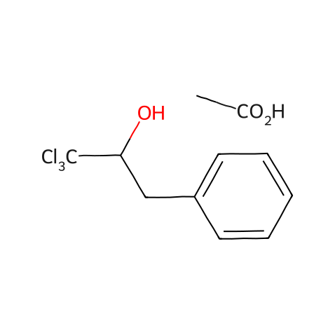 CC(=O)O.OC(Cc1ccccc1)C(Cl)(Cl)Cl